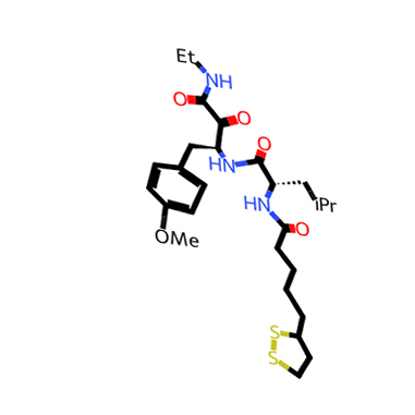 CCNC(=O)C(=O)[C@H](Cc1ccc(OC)cc1)NC(=O)[C@H](CC(C)C)NC(=O)CCCCC1CCSS1